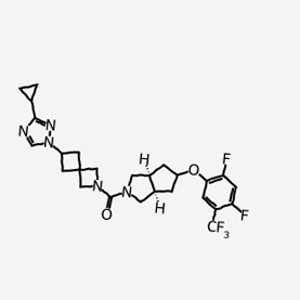 O=C(N1C[C@H]2CC(Oc3cc(C(F)(F)F)c(F)cc3F)C[C@H]2C1)N1CC2(CC(n3cnc(C4CC4)n3)C2)C1